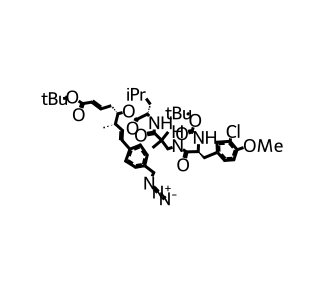 COc1ccc(C[C@H](NC(=O)OC(C)(C)C)C(=O)NCC(C)(C)C(=O)N[C@@H](CC(C)C)C(=O)O[C@@H](C/C=C/C(=O)OC(C)(C)C)[C@@H](C)/C=C/c2ccc(CN=[N+]=[N-])cc2)cc1Cl